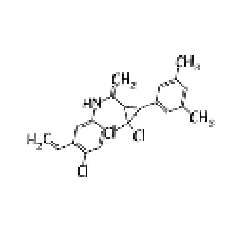 C=Cc1cc(NC(=C)C2C(c3cc(C)cc(C)c3)C2(Cl)Cl)ccc1Cl